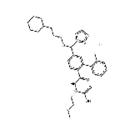 CSCC[C@H](NC(=O)c1ccc(C(OCCCC2CCCCC2)c2ccns2)cc1-c1ccccc1C)C(=O)O.[Li]